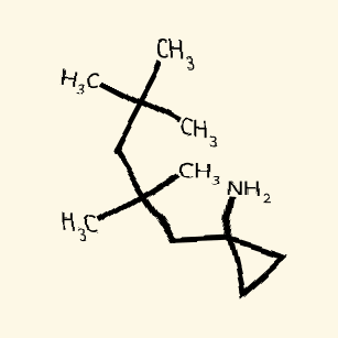 CC(C)(C)CC(C)(C)CC1(N)CC1